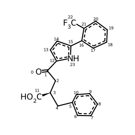 O=C(C[C@@H](Cc1ccccc1)C(=O)O)c1ccc(-c2ccccc2C(F)(F)F)[nH]1